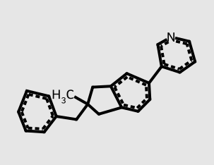 CC1(Cc2ccccc2)Cc2ccc(-c3cccnc3)cc2C1